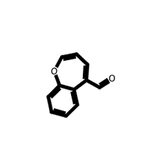 O=CC1=CC=COc2ccccc21